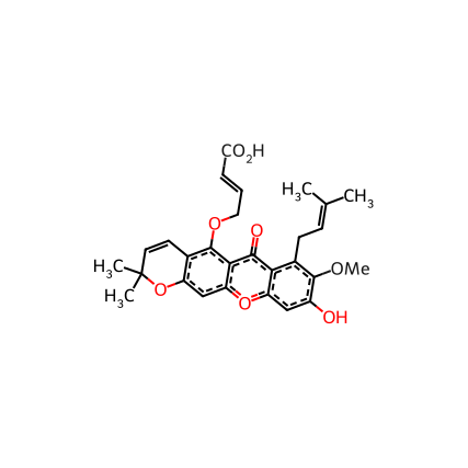 COc1c(O)cc2oc3cc4c(c(OC/C=C/C(=O)O)c3c(=O)c2c1CC=C(C)C)C=CC(C)(C)O4